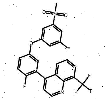 CS(=O)(=O)c1cc(F)cc(Oc2ccc(F)c(-c3ccnc4c(C(F)(F)F)cccc34)c2)c1